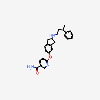 CC(CCNC1Cc2ccc(Oc3ccc(C(N)=O)cn3)cc2C1)c1ccccc1